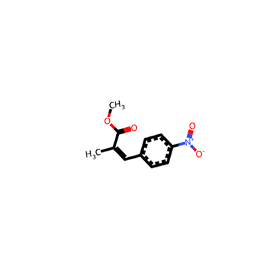 COC(=O)C(C)=Cc1ccc([N+](=O)[O-])cc1